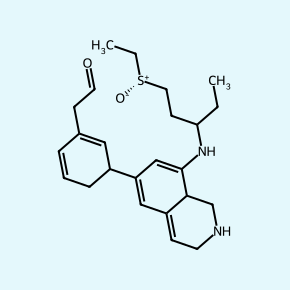 CCC(CC[S@+]([O-])CC)NC1=CC(C2C=C(CC=O)C=CC2)=CC2=CCNCC21